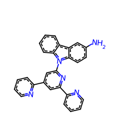 Nc1ccc2c(c1)c1ccccc1n2-c1cc(-c2ccccn2)cc(-c2ccccn2)n1